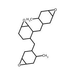 CC1CC2OC2CC1C[C]1CCC2OC2C1CC1CC2OC2CC1C